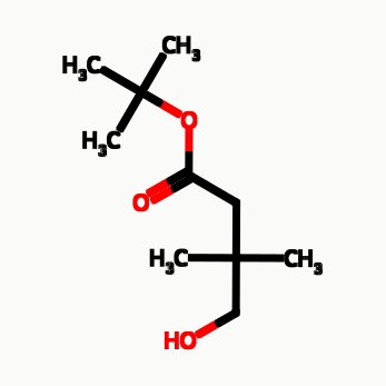 CC(C)(CO)CC(=O)OC(C)(C)C